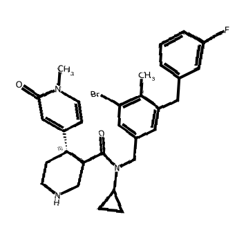 Cc1c(Br)cc(CN(C(=O)C2CNCC[C@@H]2c2ccn(C)c(=O)c2)C2CC2)cc1Cc1cccc(F)c1